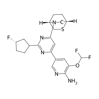 Nc1ncc(-c2cc(N3C[C@@H]4CC[C@H]3CS4)nc(C3CC[C@H](F)C3)n2)cc1OC(F)F